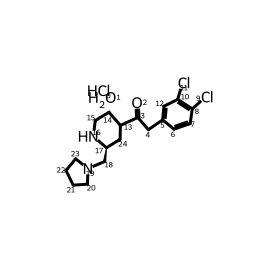 Cl.O.O=C(Cc1ccc(Cl)c(Cl)c1)C1CCN[C@H](CN2CCCC2)C1